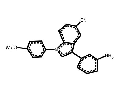 COc1ccc(-n2cc(-c3cccc(N)c3)c3cc(C#N)ccc32)cc1